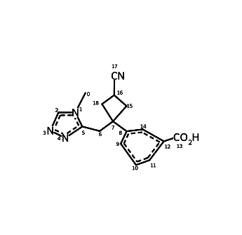 Cn1cnnc1CC1(c2cccc(C(=O)O)c2)CC(C#N)C1